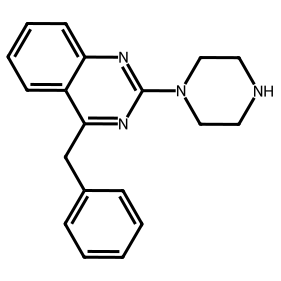 c1ccc(Cc2nc(N3CCNCC3)nc3ccccc23)cc1